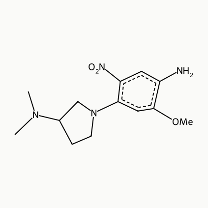 COc1cc(N2CCC(N(C)C)C2)c([N+](=O)[O-])cc1N